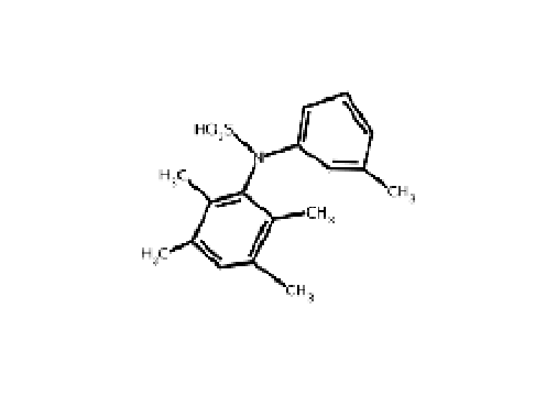 Cc1[c]c(N(c2c(C)c(C)cc(C)c2C)S(=O)(=O)O)ccc1